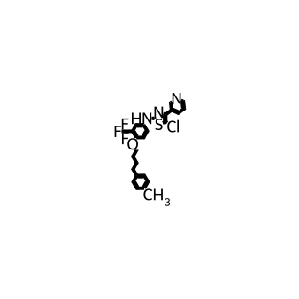 Cc1ccc(CCCCOc2ccc(Nc3nc(-c4cccnc4)c(Cl)s3)cc2C(F)(F)F)cc1